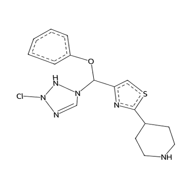 ClN1N=CN(C(Oc2ccccc2)c2csc(C3CCNCC3)n2)N1